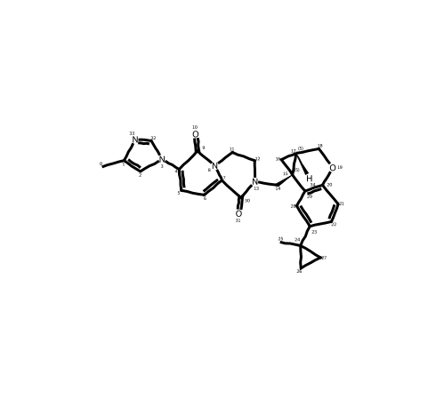 Cc1cn(-c2ccc3n(c2=O)CCN(C[C@@]24C[C@@H]2COc2ccc(C5(C)CC5)cc24)C3=O)cn1